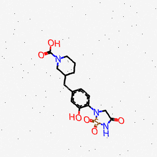 O=C1CN(c2ccc(CC3CCCN(C(=O)O)C3)cc2O)S(=O)(=O)N1